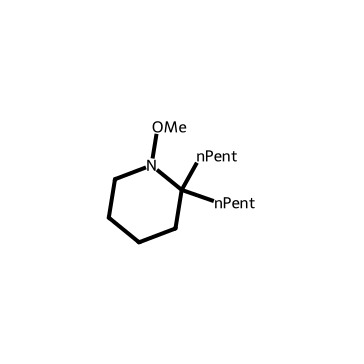 CCCCCC1(CCCCC)CCCCN1OC